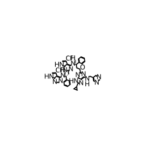 FC(F)(F)c1c[nH]c2ncnc(N[C@H](Cc3nc(N[C@@H]4CC(c5nc(NCc6cncnc6)c6nc(C7CC7)[nH]c6n5)Oc5ccccc54)c4c(C(F)(F)F)c[nH]c4n3)c3ccccc3)c12